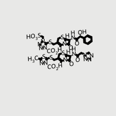 Cc1nnc(SCC2=C(C(=O)O)N3C(=O)[C@@H](NC(=O)Cn4cnnn4)[C@H]3SC2)s1.O=C(O)C1=C(CSc2nnnn2CS(=O)(=O)O)CS[C@@H]2[C@H](NC(=O)[C@H](O)c3ccccc3)C(=O)N12